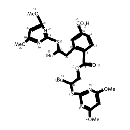 COc1cc(OC)nc(SC(COC(=O)c2ccc(C(=O)O)cc2CC(Sc2nc(OC)cc(OC)n2)C(C)(C)C)C(C)(C)C)n1